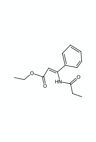 CCOC(=O)C=C(NC(=O)CC)c1ccccc1